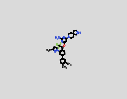 Cc1ccn(-c2cc(-c3ccc(C)c(C)c3)ccc2[C@@H](Oc2cc(N3CCC4(CCNC4)CC3)nc(N)n2)C(F)(F)F)n1